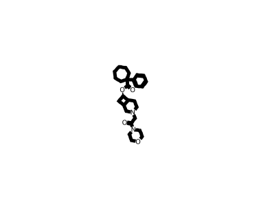 O=C(CN1CCC2C(C[C@@H]2OC(=O)C2(c3ccccc3)CCCCCC2)C1)N1CCOCC1